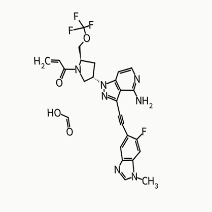 C=CC(=O)N1C[C@@H](n2nc(C#Cc3cc4ncn(C)c4cc3F)c3c(N)nccc32)C[C@@H]1COC(F)(F)F.O=CO